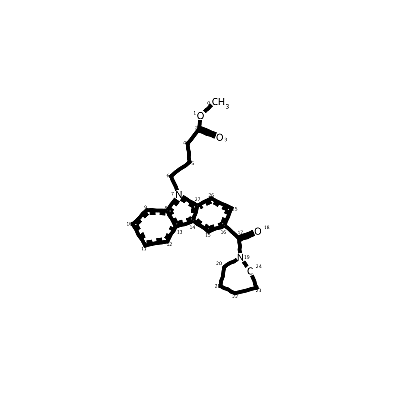 COC(=O)CCCn1c2ccccc2c2cc(C(=O)N3CCCCC3)ccc21